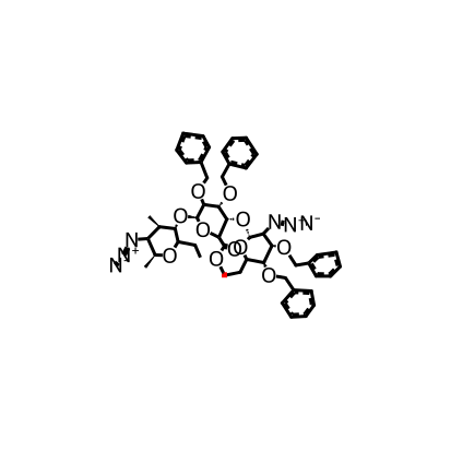 CCC1O[C@@H](C)C(N=[N+]=[N-])[C@@H](C)[C@@H]1O[C@@H]1OC(C(=O)OC)[C@@H](O[C@H]2OC(CC)[C@H](OCc3ccccc3)[C@@H](OCc3ccccc3)C2N=[N+]=[N-])[C@@H](OCc2ccccc2)C1OCc1ccccc1